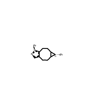 CC(C)[C@@H]1C2CCc3cnn(C(C)C)c3CCC21